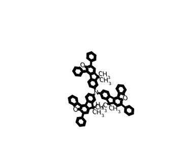 CC1(C)c2cc(N(c3ccc4c(c3)C(C)(C)c3cc(-c5ccccc5)c5oc6ccccc6c5c3-4)c3ccc4c(c3)C(C)(C)c3cc(-c5ccccc5)c5oc6ccccc6c5c3-4)ccc2-c2c1cc(-c1ccccc1)c1oc3ccccc3c21